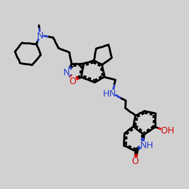 CN(CCCc1noc2cc(CNCCc3ccc(O)c4[nH]c(=O)ccc34)c3c(c12)CCC3)C1CCCCC1